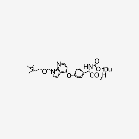 CC(C)(C)OC(=O)NC(C(=O)O)c1ccc(Oc2ccnc3c2ccn3COCC[Si](C)(C)C)cc1